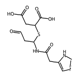 O=CCC(NC(=O)Cc1cnc[nH]1)SC(CC(=O)O)C(=O)O